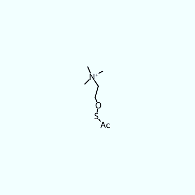 CC(=O)SOCC[N+](C)(C)C